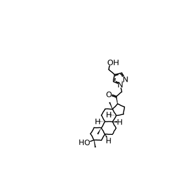 C[C@@]1(O)CC[C@@]2(C)[C@H](CC[C@@H]3[C@@H]2CC[C@]2(C)[C@@H](C(=O)Cn4cc(CO)cn4)CC[C@@H]32)C1